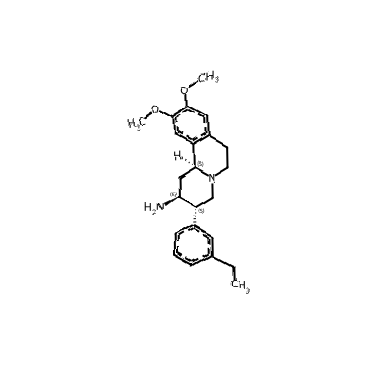 CCc1cccc([C@H]2CN3CCc4cc(OC)c(OC)cc4[C@@H]3C[C@@H]2N)c1